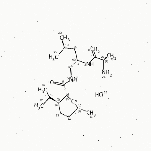 C=C(N[C@H](CNC(=O)[C@@H]1C[C@H](C)CC[C@H]1C(C)C)CC(C)C)[C@@H](C)N.Cl